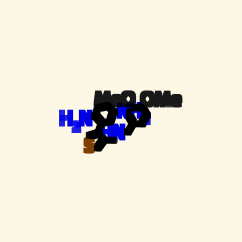 COc1ccc(CNCc2cscc2-c2cc(N)ccc2N)cc1OC